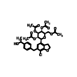 CC(=O)OC[C@H]1O[C@@H](c2cc(Cc3ccc(C(C)O)cc3)c(Cl)c3c2CCO3)[C@H](OC(C)=O)[C@@H](OC(C)=O)[C@@H]1OC(C)=O